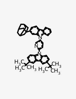 CC(C)(C)c1ccc2c(c1)c1cc(C(C)(C)C)ccc1n2-c1ccc(-n2c3ccccc3c3ccc(C45CC6CC(CC(C6)C4)C5)cc32)cn1